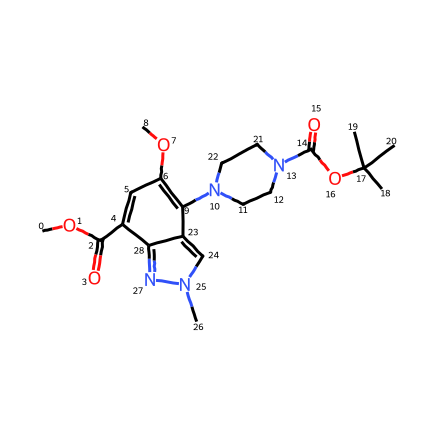 COC(=O)c1cc(OC)c(N2CCN(C(=O)OC(C)(C)C)CC2)c2cn(C)nc12